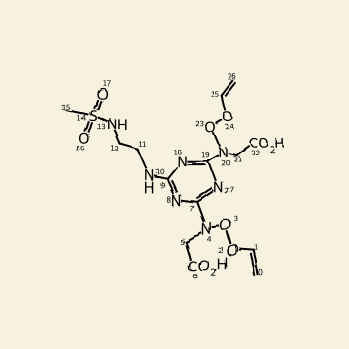 C=COON(CC(=O)O)c1nc(NCCNS(C)(=O)=O)nc(N(CC(=O)O)OOC=C)n1